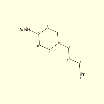 CC(=O)NC1CCC(CCCC(C)C)CC1